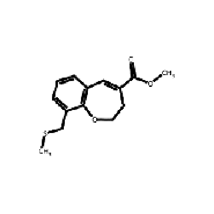 COC(=O)C1=Cc2cccc(CSC)c2OCC1